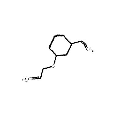 C=CCSC1CCCC(C=C)C1